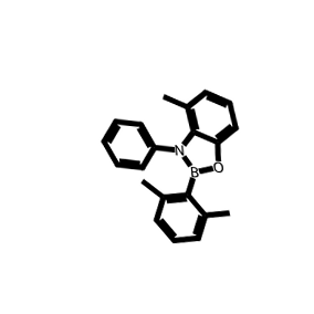 Cc1cccc(C)c1B1Oc2cccc(C)c2N1c1ccccc1